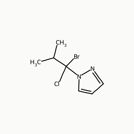 CC(C)C(Cl)(Br)n1cccn1